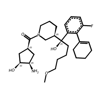 COCCCC[C@@](O)(c1cccc(F)c1C1=CCCCC1)[C@@H]1CCCN(C(=O)[C@H]2C[C@@H](N)[C@@H](O)C2)C1